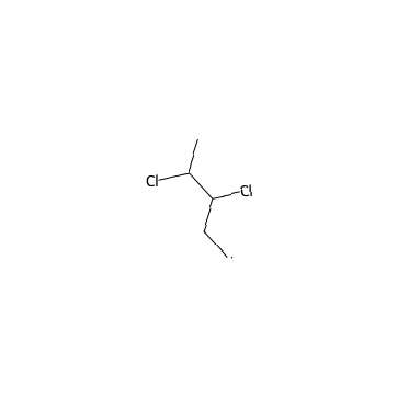 [CH2]CC(Cl)C(C)Cl